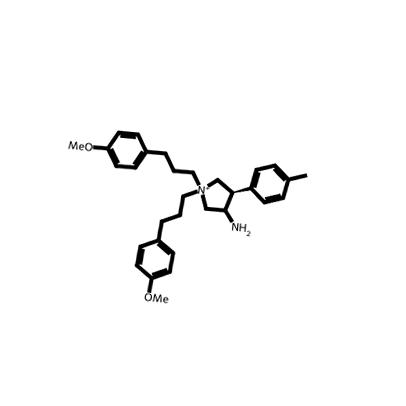 COc1ccc(CCC[N+]2(CCCc3ccc(OC)cc3)CC(N)[C@H](c3ccc(C)cc3)C2)cc1